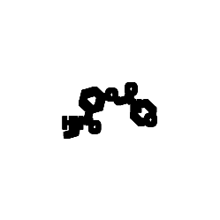 CCNC(=O)c1cccc(OCC(=O)N2CCOCC2)c1